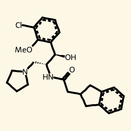 COc1c(Cl)cccc1[C@@H](O)[C@@H](CN1CCCC1)NC(=O)CC1Cc2ccccc2C1